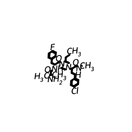 CCCC1CN(C(CCc2ccc(Cl)cc2)C(=O)NC)CCN1C(=O)C(Cc1ccc(F)cc1)NC(=O)C(C)(C)N